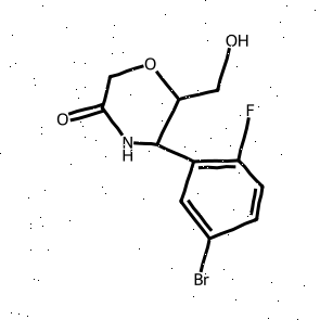 O=C1COC(CO)C(c2cc(Br)ccc2F)N1